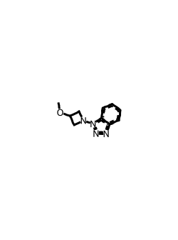 COC1CN(n2nnc3ccccc32)C1